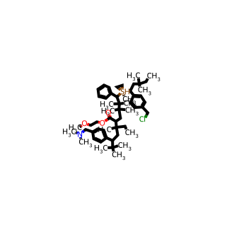 CCC(C)(C)CC(c1ccc(CCl)cc1)[SH]1(C)(C(c2ccccc2)C(C)(C)C(C)(C)CC(C(=O)OCCOC)C(C)(CC)CC(c2ccc(CN(C)C)cc2)C(C)(C)C)CC1